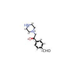 O=Cc1ccc(C(=O)CN2CCNCC2)cc1